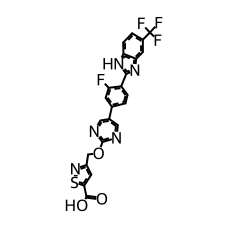 O=C(O)c1cc(COc2ncc(-c3ccc(-c4nc5cc(C(F)(F)F)ccc5[nH]4)c(F)c3)cn2)ns1